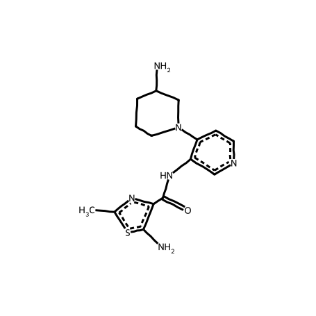 Cc1nc(C(=O)Nc2cnccc2N2CCCC(N)C2)c(N)s1